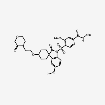 CCOc1ccc2c(c1)C1(CCC(OCCN3CCOCC3=O)CC1)C(=O)N2S(=O)(=O)c1ccc(C(=O)NC(C)(C)C)cc1OC